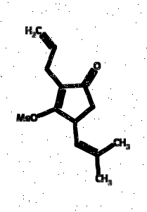 C=CCC1=C(OC)C(C=C(C)C)CC1=O